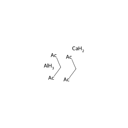 CC(=O)CC(C)=O.CC(=O)CC(C)=O.[AlH3].[CaH2]